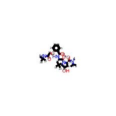 CC(C)N(C)C(=O)[C@H]1C[C@H](O)CN1C(=O)[C@@H](CC(C)(C)C)NC(=O)c1ccccc1OCC(=O)NC(C)(C)C